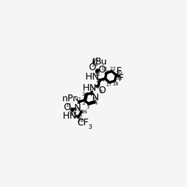 CCC[C@@H](c1ccnc(NC(=O)[C@@H](NC(=O)OC(C)(C)C)C2CCC(F)(F)CC2)c1)N1C[C@@H](C(F)(F)F)NC1=O